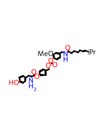 COc1cc(CNC(=O)CCCC/C=C/C(C)C)ccc1OC(=O)OCc1ccc(OC(=O)[C@@H](N)Cc2ccc(O)cc2)cc1